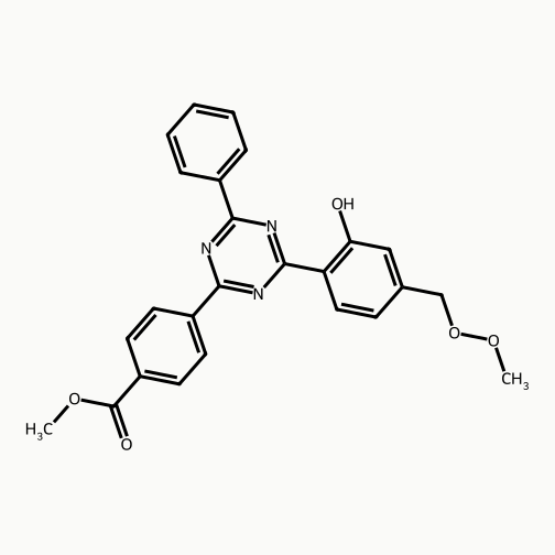 COOCc1ccc(-c2nc(-c3ccccc3)nc(-c3ccc(C(=O)OC)cc3)n2)c(O)c1